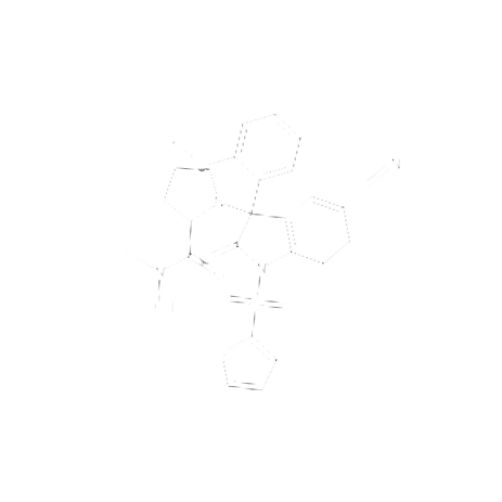 COc1ccccc1C1(N2CCCC2C(=O)N(C)C)C(=O)N(S(=O)(=O)c2cccs2)c2ccc(C#N)cc21